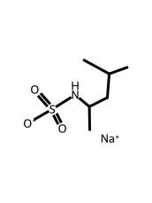 CC(C)CC(C)NS(=O)(=O)[O-].[Na+]